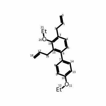 C=CCc1c[c]c(-c2ccc(OCC)cc2)c(CC=C)c1OCC